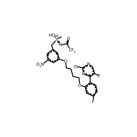 C[SH](O)(Cc1cc(OCCCCOc2cc(F)ccc2-c2nc(Cl)ncc2F)cc([N+](=O)[O-])c1)=NC(=O)C(F)(F)F